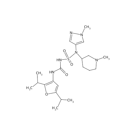 CC(C)c1cc(NC(=O)NS(=O)(=O)N(c2cnn(C)c2)C2CCCN(C)C2)c(C(C)C)o1